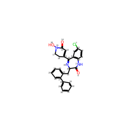 O=C1Nc2ccc(Cl)cc2C(C2=CC(=O)N(O)CC2)=NC1Cc1ccccc1-c1ccccc1